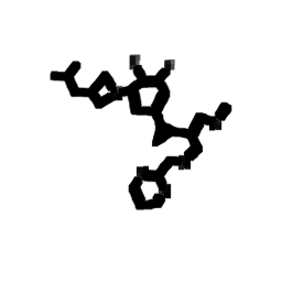 C=N/C=C(\C=N/Cc1ncccn1)C1CC1c1cc(F)c(F)c(N2CC(CC(C)C)C2)c1